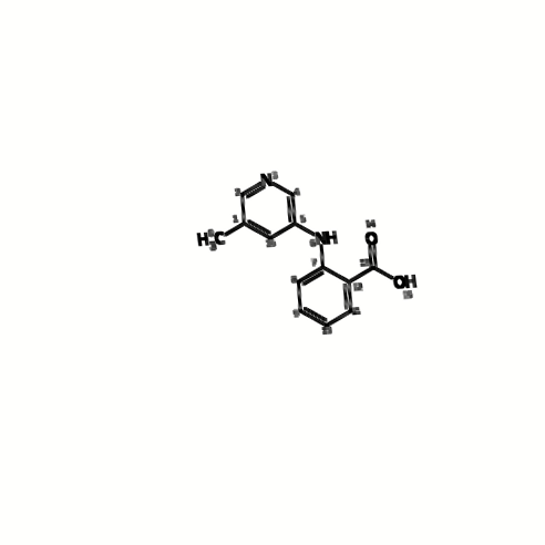 Cc1cncc(Nc2ccccc2C(=O)O)c1